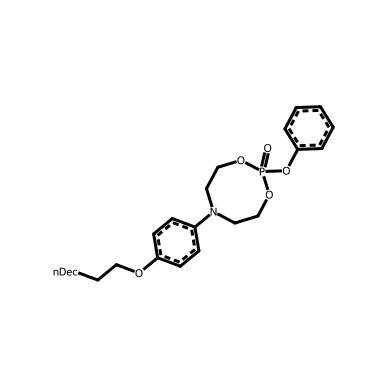 CCCCCCCCCCCCOc1ccc(N2CCOP(=O)(Oc3ccccc3)OCC2)cc1